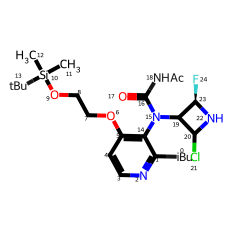 CCC(C)c1nccc(OCCO[Si](C)(C)C(C)(C)C)c1N(C(=O)NC(C)=O)C1C(Cl)N[C@@H]1F